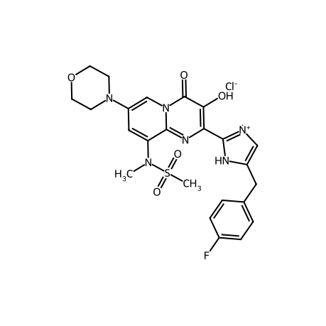 CN(c1cc(N2CCOCC2)cn2c(=O)c(O)c(C3=[N+]C=C(Cc4ccc(F)cc4)N3)nc12)S(C)(=O)=O.[Cl-]